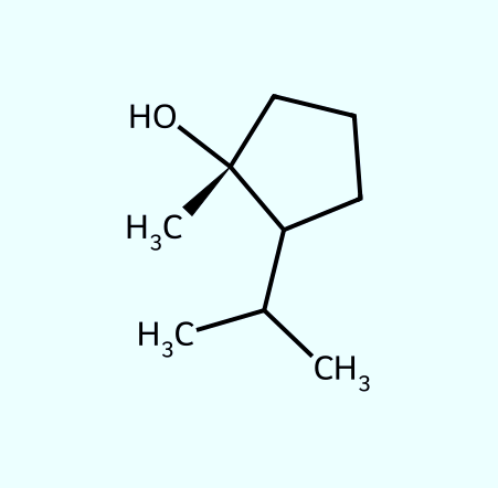 CC(C)C1CCC[C@@]1(C)O